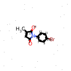 CC1=CC(=O)N(c2ccc(Br)cc2)C1=O